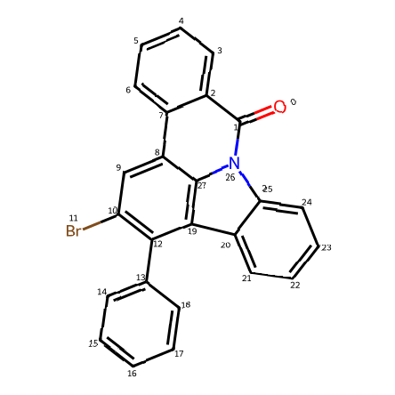 O=c1c2ccccc2c2cc(Br)c(-c3ccccc3)c3c4ccccc4n1c23